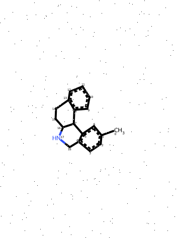 Cc1ccc2c(c1)C1c3ccccc3CCC1NC2